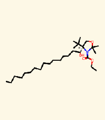 CCCCCCCCCCCCCCCC(O)[C@]1(C(C)(C)C)COC(C)(C)N1C(=O)OCC